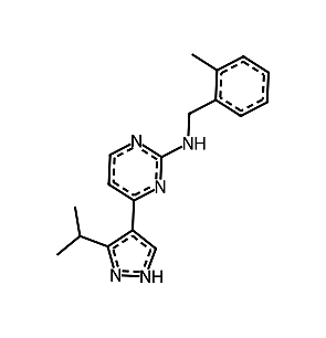 Cc1ccccc1CNc1nccc(-c2c[nH]nc2C(C)C)n1